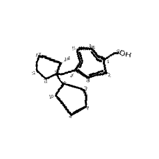 Oc1ccc(C2(C3CCCC3)CCCC2)cc1